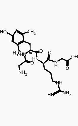 Cc1cc(O)cc(C)c1C[C@H](NC(=O)CN)C(=O)NC(CCCNC(=N)N)C(=O)NCC(=O)O